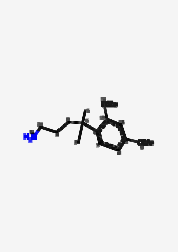 COc1ccc(C(C)(C)CCCN)c(OC)c1